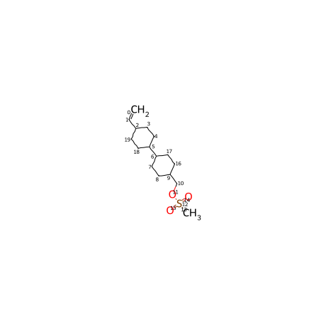 C=CC1CCC(C2CCC(COS(C)(=O)=O)CC2)CC1